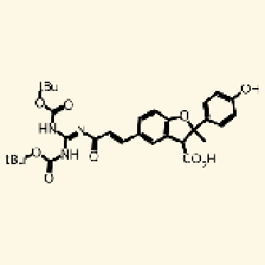 CC(C)(C)OC(=O)NC(=NC(=O)C=Cc1ccc2c(c1)C(C(=O)O)C(C)(c1ccc(O)cc1)O2)NC(=O)OC(C)(C)C